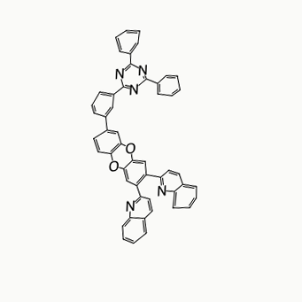 c1ccc(-c2nc(-c3ccccc3)nc(-c3cccc(-c4ccc5c(c4)Oc4cc(-c6ccc7ccccc7n6)c(-c6ccc7ccccc7n6)cc4O5)c3)n2)cc1